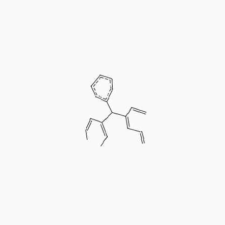 C=C/C=C(\C=C)C(C(/C=C\C)=C/C)c1ccccc1